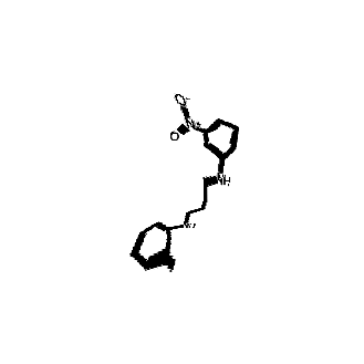 Cc1ccccc1NCCCNc1cccc([N+](=O)[O-])c1